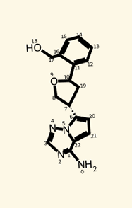 Nc1ncnn2c([C@@H]3COC(c4ccccc4CO)C3)ccc12